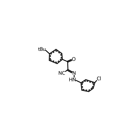 CC(C)(C)c1ccc(C(=O)/C(C#N)=N/Nc2cccc(Cl)c2)cc1